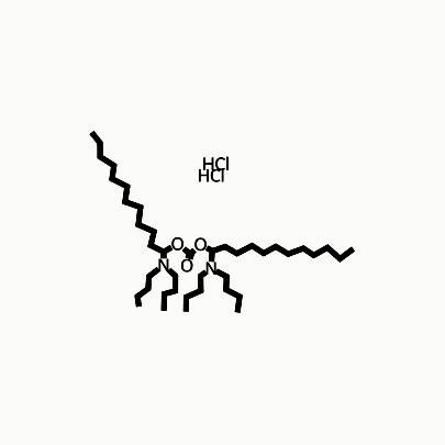 CCCCCCCCCCCC(OC(=O)OC(CCCCCCCCCCC)N(CCCC)CCCC)N(CCCC)CCCC.Cl.Cl